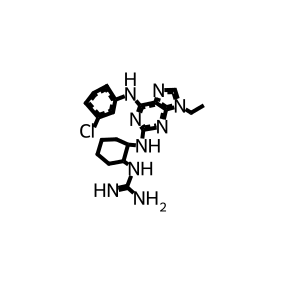 CCn1cnc2c(Nc3cccc(Cl)c3)nc(NC3CCCCC3NC(=N)N)nc21